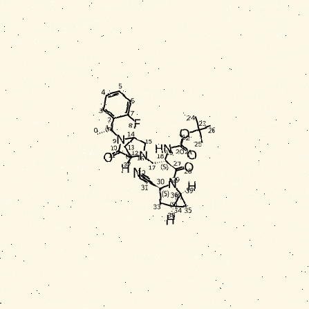 C[C@H](c1ccccc1F)N1C(=O)[C@@H]2CC1CN2C[C@H](NC(=O)OC(C)(C)C)C(=O)N1[C@H](C#N)C[C@@H]2C[C@@H]21